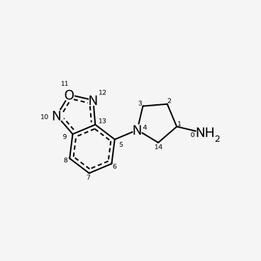 NC1CCN(c2cccc3nonc23)C1